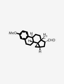 COc1ccc2c(c1)CC[C@@H]1[C@@H]2CC[C@]2(C)[C@H](C=O)C[C@@H]3C[C@@]312